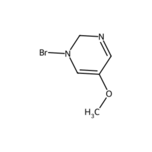 COC1=CN(Br)CN=C1